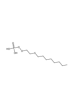 CCCCCCCCSCCOOP(=O)(O)O